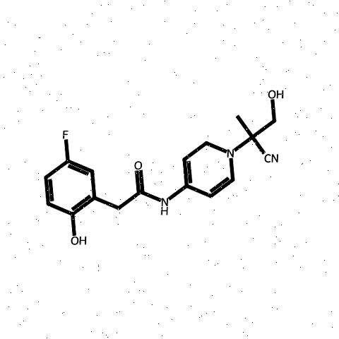 CC(C#N)(CO)N1C=CC(NC(=O)Cc2cc(F)ccc2O)=CC1